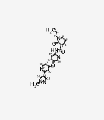 C=CCn1cccc(C(=O)Nc2ccc(Oc3ccnc(-c4cnn(C)c4)c3)cn2)c1=O